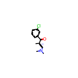 C/C(=C\N(C)C)C(=O)c1cccc(Cl)c1